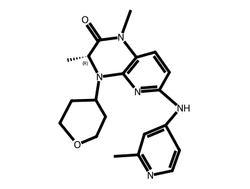 Cc1cc(Nc2ccc3c(n2)N(C2CCOCC2)[C@H](C)C(=O)N3C)ccn1